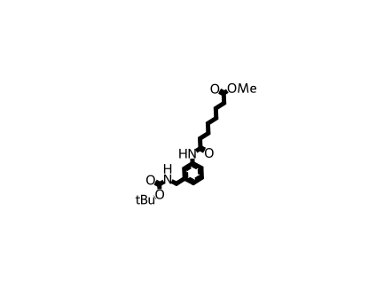 COC(=O)CCCCCCC(=O)Nc1cccc(CNC(=O)OC(C)(C)C)c1